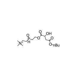 CCCCOC(=O)CC(O)C(=O)OCC[PH](=O)CC[N+](C)(C)C